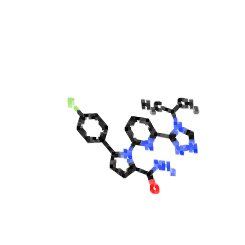 CC(C)n1cnnc1-c1cccc(-n2c(C(N)=O)ccc2-c2ccc(F)cc2)n1